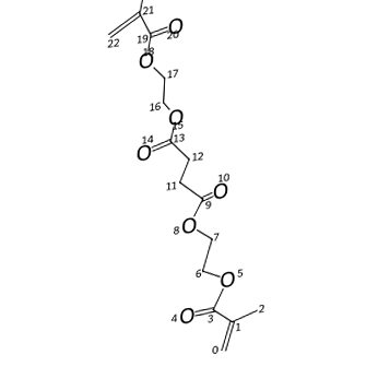 C=C(C)C(=O)OCCOC(=O)CCC(=O)OCCOC(=O)C(=C)C